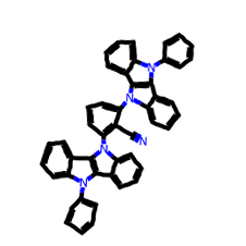 N#Cc1c(-n2c3ccccc3c3c2c2ccccc2n3-c2ccccc2)cccc1-n1c2ccccc2c2c1c1ccccc1n2-c1ccccc1